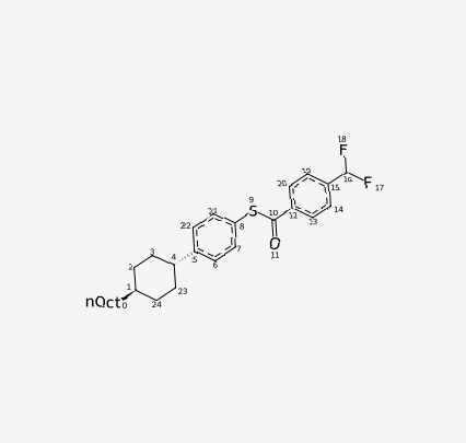 CCCCCCCC[C@H]1CC[C@H](c2ccc(SC(=O)c3ccc(C(F)F)cc3)cc2)CC1